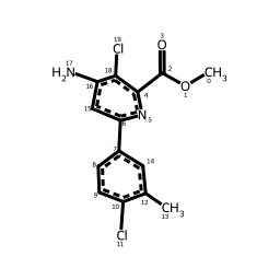 COC(=O)c1nc(-c2ccc(Cl)c(C)c2)cc(N)c1Cl